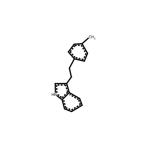 Cc1ccc(C[CH]c2c[nH]c3ccccc23)cc1